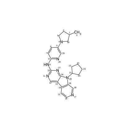 CC1CCN(c2ccc(Nc3ncc4c5ccncc5n(C5CCCC5)c4n3)nc2)C1